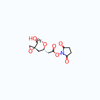 CC(C)O[C@H](CC(=O)ON1C(=O)CCC1=O)C[C@]1(CO)CO1